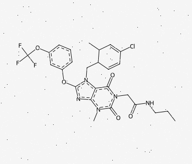 CCCNC(=O)Cn1c(=O)c2c(nc(Oc3cccc(OC(F)(F)F)c3)n2CC2C=CC(Cl)=CC2C)n(C)c1=O